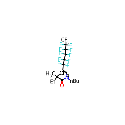 CCCCN(CCC(F)(F)C(F)(F)C(F)(F)C(F)(F)C(F)(F)C(F)(F)F)C(=O)C(C)(C)CC